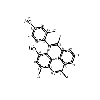 CC(=Nc1ccc(O)cc1C)c1cccc(C(C)=Nc2ccc(O)cc2C)n1